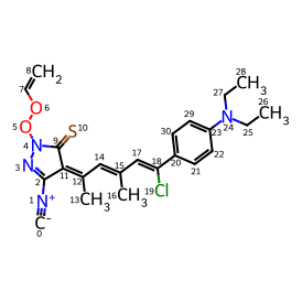 [C-]#[N+]C1=NN(OOC=C)C(=S)\C1=C(C)/C=C(C)/C=C(\Cl)c1ccc(N(CC)CC)cc1